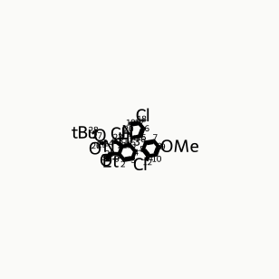 CC[C@@]12C=C[C@@H](c3ccc(OC)cc3Cl)[C@H](c3ccc(Cl)cn3)[C@@H]1[C@@H](C)N(C(=O)OC(C)(C)C)C2=O